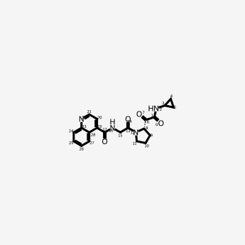 O=C(NC1CC1)C(=O)[C@@H]1CCCN1C(=O)CNC(=O)c1ccnc2ccccc12